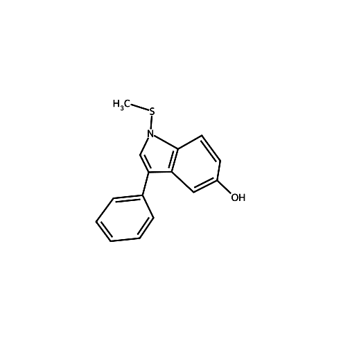 CSn1cc(-c2ccccc2)c2cc(O)ccc21